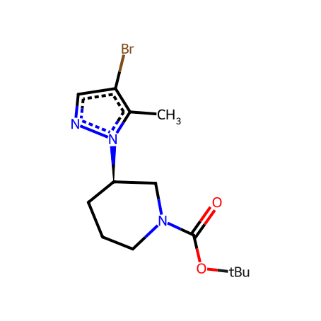 Cc1c(Br)cnn1[C@@H]1CCCN(C(=O)OC(C)(C)C)C1